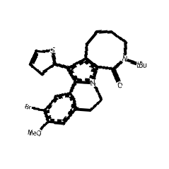 COc1cc2c(cc1Br)-c1c(C3CC=CS3)c3c(n1CC2)C(=O)N(C(C)(C)C)CCCC3